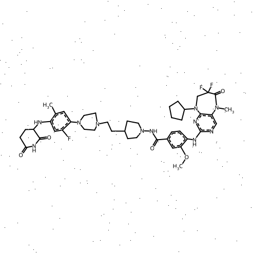 COc1cc(C(=O)NN2CCC(CCN3CCN(c4cc(C)c(NC5CCC(=O)NC5=O)cc4F)CC3)CC2)ccc1Nc1ncc2c(n1)N(C1CCCC1)CC(F)(F)C(=O)N2C